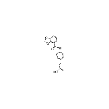 O=C(O)CCc1ccc(NC(=O)c2cccc3c2OCO3)cc1